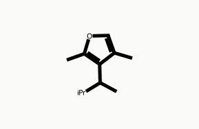 Cc1coc(C)c1C(C)C(C)C